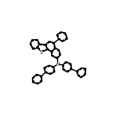 c1ccc(-c2ccc(N(c3ccc(-c4ccccc4)cc3)c3ccc4c(-c5ccccc5)cc5c6ccccc6sc5c4c3)cc2)cc1